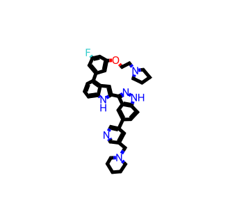 Fc1cc(OCCN2CCCC2)cc(-c2cccc3[nH]c(-c4n[nH]c5ccc(-c6cncc(CN7CCCCC7)c6)cc45)cc23)c1